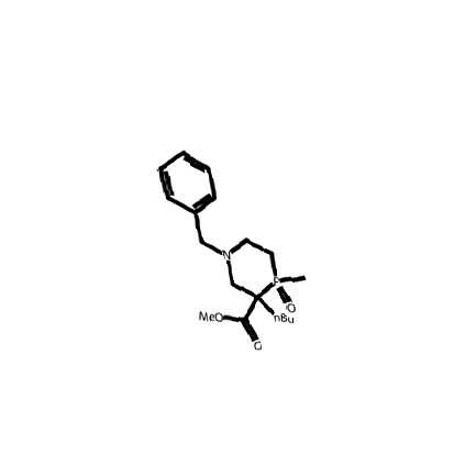 CCCCC1(C(=O)OC)CN(Cc2ccccc2)CCP1(C)=O